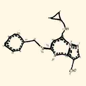 O=Cc1cnn2c(NC3CC3)cc(SCc3ccccc3)nc12